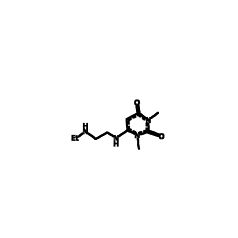 CCNCCNc1cc(=O)n(C)c(=O)n1C